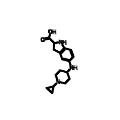 O=C(O)C1Cc2cc(NC3CCN(C4CC4)CC3)ccc2N1